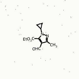 CCOC(=O)c1c(C=O)c(C)nn1C1CC1